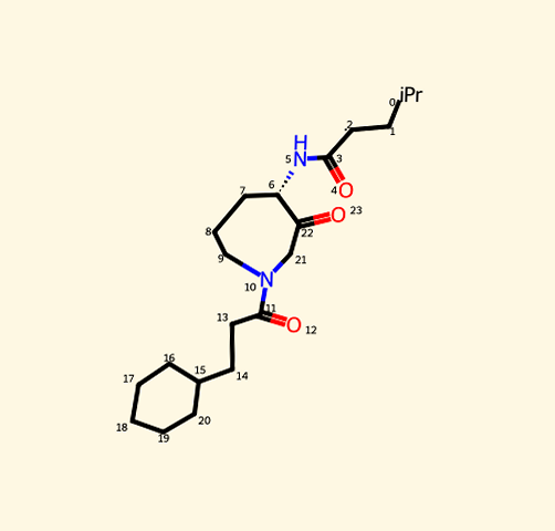 CC(C)C[CH]C(=O)N[C@H]1CCCN(C(=O)CCC2CCCCC2)CC1=O